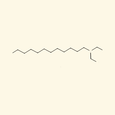 CCCCCCCCCCCCN(CC)CC.F